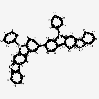 c1ccc(-n2c3ccc(-c4ccc5c6cc7oc8ccccc8c7cc6n(-c6ccccc6)c5c4)cc3c3cc4c(cc32)oc2ccccc24)cc1